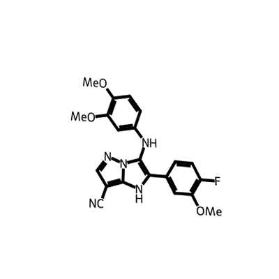 COc1cc(-c2[nH]c3c(C#N)cnn3c2Nc2ccc(OC)c(OC)c2)ccc1F